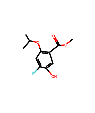 COC(=O)c1cc(O)c(F)cc1OC(C)C